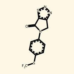 O=C1c2snnc2CN1c1ccc(SC(F)(F)F)cc1